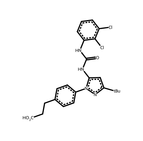 CC(C)(C)c1cc(NC(=O)Nc2cccc(Cl)c2Cl)n(-c2ccc(CCC(=O)O)cc2)n1